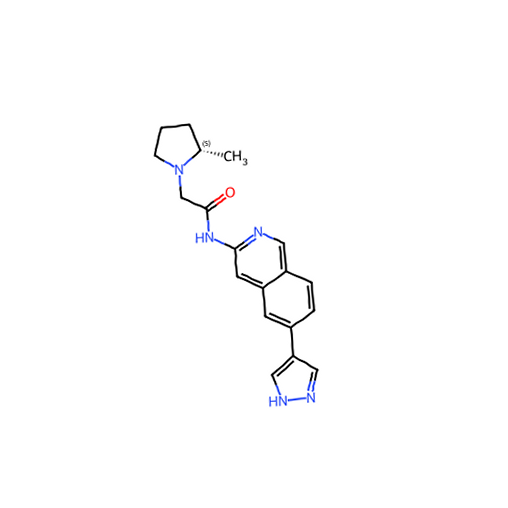 C[C@H]1CCCN1CC(=O)Nc1cc2cc(-c3cn[nH]c3)ccc2cn1